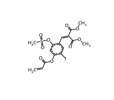 C=CC(=O)Oc1cc(OS(C)(=O)=O)c(C=C(C(=O)OC)C(=O)OC)cc1I